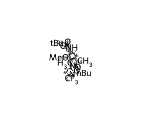 CCCCOc1nc(C(F)(F)F)ccc1N(C)C(=O)C(C)c1ccc(CNC(=O)OC(C)(C)C)c(OC)c1